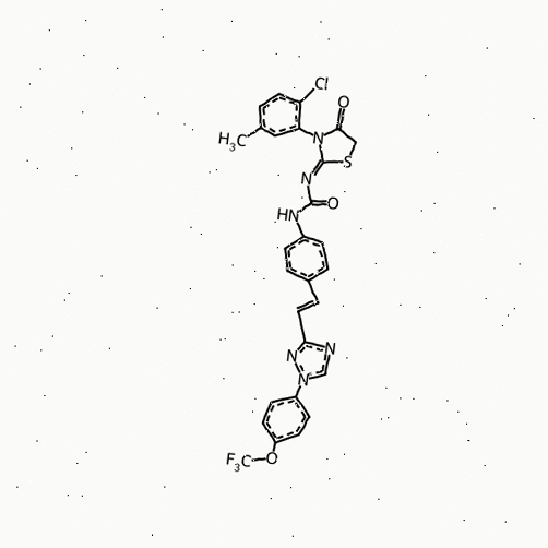 Cc1ccc(Cl)c(N2C(=O)CSC2=NC(=O)Nc2ccc(C=Cc3ncn(-c4ccc(OC(F)(F)F)cc4)n3)cc2)c1